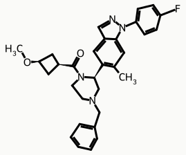 CO[C@H]1C[C@@H](C(=O)N2CCN(Cc3ccccc3)C[C@@H]2c2cc3cnn(-c4ccc(F)cc4)c3cc2C)C1